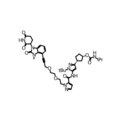 CC(C)NC(=O)O[C@@H]1CC[C@H](c2cc(NC(=O)c3ccnn3CCOCCOCC#Cc3cccc4c3n(C)c(=O)n4C3CCC(=O)NC3=O)n(C(C)(C)C)n2)C1